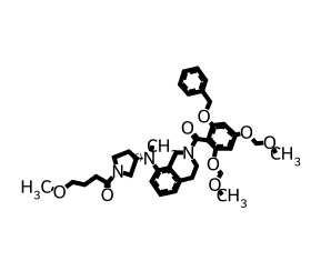 COCCCC(=O)N1CC[C@H](N(C)c2cccc3c2CN(C(=O)c2c(OCOC)cc(OCOC)cc2OCc2ccccc2)CC3)C1